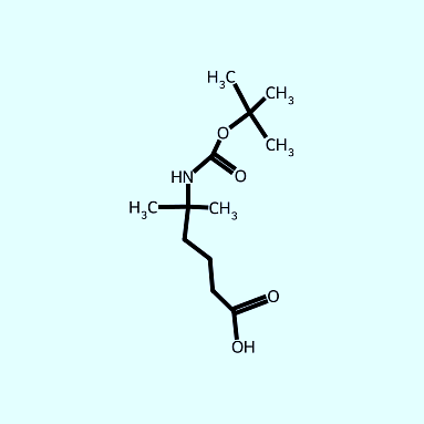 CC(C)(CCCC(=O)O)NC(=O)OC(C)(C)C